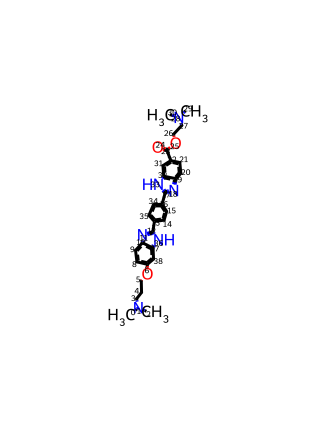 CN(C)CCCOc1ccc2nc(-c3ccc(-c4nc5ccc(C(=O)OCCN(C)C)cc5[nH]4)cc3)[nH]c2c1